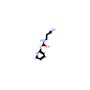 N#CCCNC(=O)Cc1ccccn1